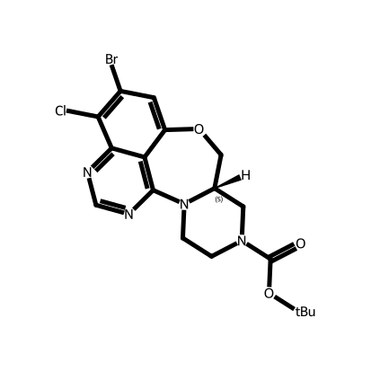 CC(C)(C)OC(=O)N1CCN2c3ncnc4c(Cl)c(Br)cc(c34)OC[C@@H]2C1